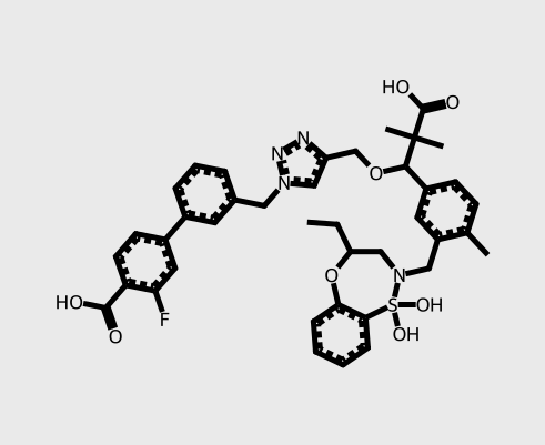 CCC1CN(Cc2cc(C(OCc3cn(Cc4cccc(-c5ccc(C(=O)O)c(F)c5)c4)nn3)C(C)(C)C(=O)O)ccc2C)S(O)(O)c2ccccc2O1